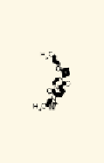 CCCCO[C@H]1CC[C@H]1N1CCn2c(ccc(-n3cnc(C)c3)c2=O)C1=O